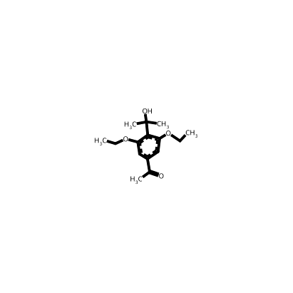 CCOc1cc(C(C)=O)cc(OCC)c1C(C)(C)O